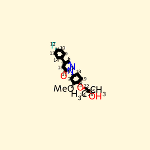 COc1cc(-n2ncc(-c3ccc(F)cc3)cc2=O)ccc1OCC(C)(C)O